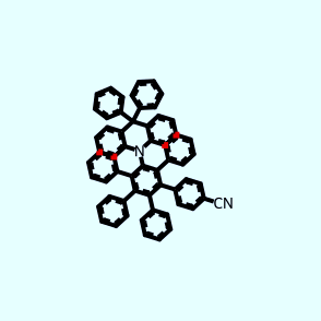 N#Cc1ccc(-c2c(-c3ccccc3)c(-c3ccccc3)c(-c3ccccc3)c(N3c4ccccc4C(c4ccccc4)(c4ccccc4)c4ccccc43)c2-c2ccccc2)cc1